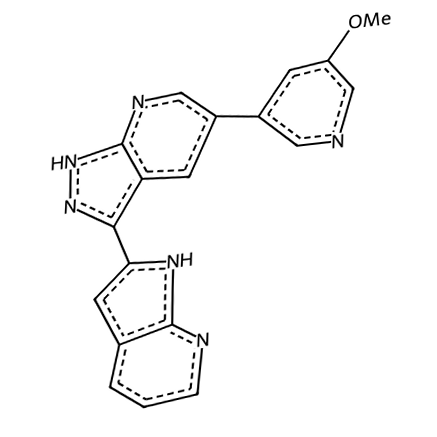 COc1cncc(-c2cnc3[nH]nc(-c4cc5cccnc5[nH]4)c3c2)c1